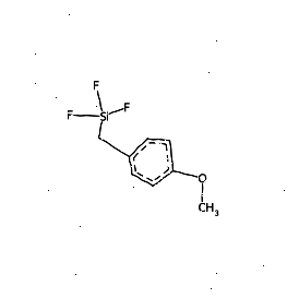 COc1ccc(C[Si](F)(F)F)cc1